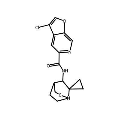 O=C(NC1C2CCN(CC2)C12CC2)c1cc2c(Cl)coc2cn1